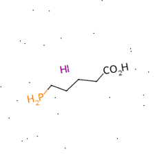 I.O=C(O)CCCCP